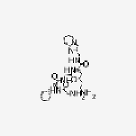 NCCCC[C@@H](NC(=O)CNC(=O)[C@@H](Cc1ccccc1)NC(=O)CN)C(=O)NCc1cn2ccccc2n1